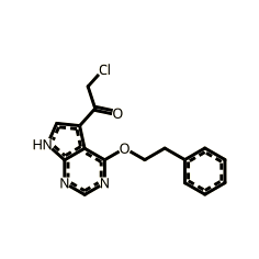 O=C(CCl)c1c[nH]c2ncnc(OCCc3ccccc3)c12